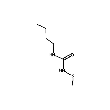 CCCCNC(=O)NSC